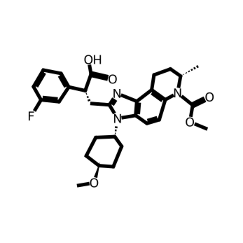 COC(=O)N1c2ccc3c(nc(C[C@@H](C(=O)O)c4cccc(F)c4)n3[C@H]3CC[C@H](OC)CC3)c2CC[C@@H]1C